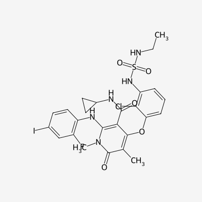 CCNS(=O)(=O)Nc1cccc(Oc2c(C(=O)NC3CC3)c(Nc3ccc(I)cc3F)n(C)c(=O)c2C)c1Cl